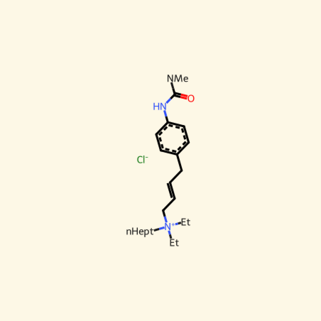 CCCCCCC[N+](CC)(CC)CC=CCc1ccc(NC(=O)NC)cc1.[Cl-]